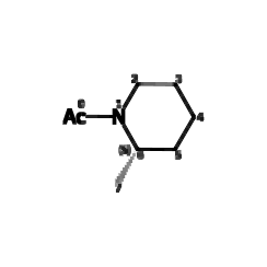 CC(=O)N1CCCC[C@@H]1C